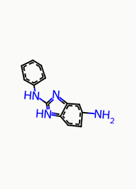 Nc1ccc2[nH]c(Nc3ccccc3)nc2c1